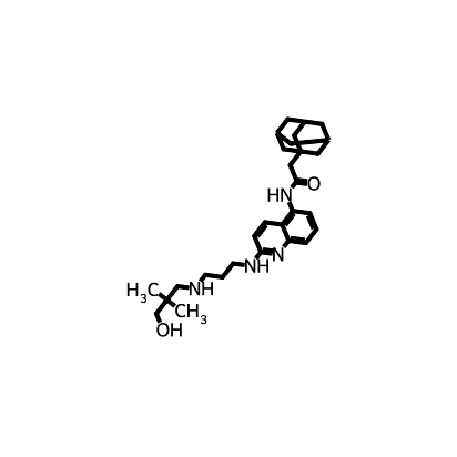 CC(C)(CO)CNCCCNc1ccc2c(NC(=O)CC34CC5CC(CC(C5)C3)C4)cccc2n1